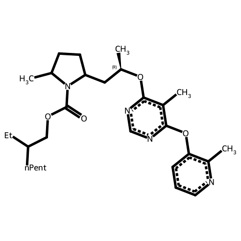 CCCCCC(CC)COC(=O)N1C(C)CCC1C[C@@H](C)Oc1ncnc(Oc2cccnc2C)c1C